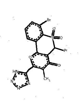 Cc1c(-c2nnn[nH]2)oc2c(c1=O)C(C(C)C)S(=O)(=O)c1c(Br)cccc1-2